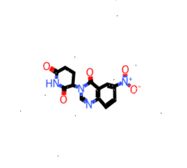 O=C1CCC(n2cnc3ccc([N+](=O)[O-])cc3c2=O)C(=O)N1